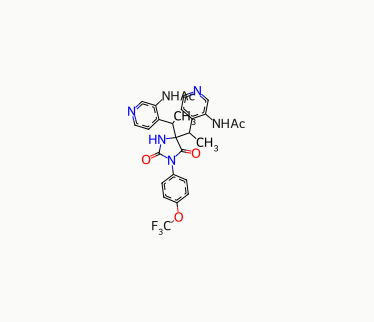 CC(=O)Nc1cnccc1C(C)C1(C(C)c2ccncc2NC(C)=O)NC(=O)N(c2ccc(OC(F)(F)F)cc2)C1=O